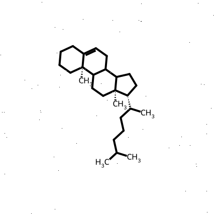 CC(C)CCCC(C)[C@H]1CCC2C3CC=C4CCCC[C@]4(C)C3CC[C@@]21C